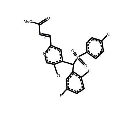 COC(=O)/C=C/c1cc(C(c2cc(F)ccc2F)S(=O)(=O)c2ccc(Cl)cc2)c(Cl)cn1